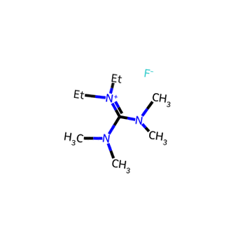 CC[N+](CC)=C(N(C)C)N(C)C.[F-]